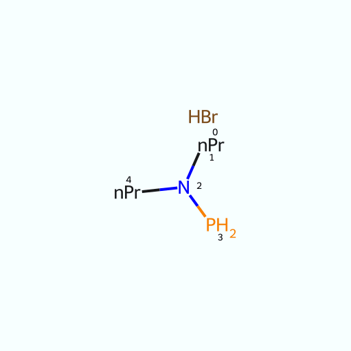 Br.CCCN(P)CCC